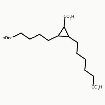 CCCCCCCCCCCCCCC1C(CCCCCC(=O)O)C1C(=O)O